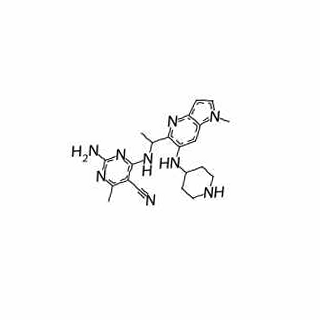 Cc1nc(N)nc(NC(C)c2nc3ccn(C)c3cc2NC2CCNCC2)c1C#N